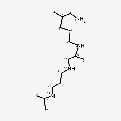 CC(CN)CCCNC(C)CNCCCNC(C)C